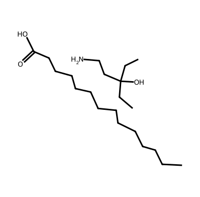 CCC(O)(CC)CCN.CCCCCCCCCCCCCC(=O)O